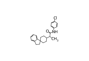 CC(C(=O)Nc1ccc(Cl)cc1)C1CCC2(CCc3ccccc32)CC1